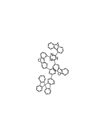 c1cc(-c2ccc3c(c2)C2(c4ccccc4-c4ccccc42)c2ccccc2-3)cc(-c2ccc3oc4cccc(-c5nc(-c6ccc7oc8ccccc8c7c6)nc(-c6cccc7sc8ccccc8c67)n5)c4c3c2)c1